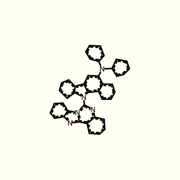 c1ccc(N(c2ccccc2)c2cc3c4ccccc4n(-c4nc5ccccc5c5nc6ccccc6n45)c3c3ccccc23)cc1